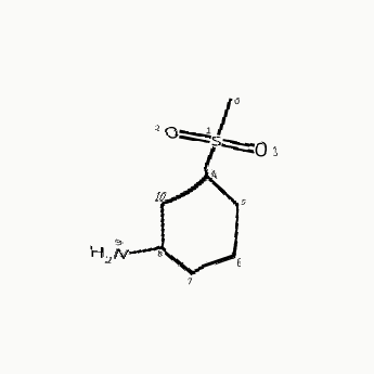 CS(=O)(=O)C1CCCC(N)C1